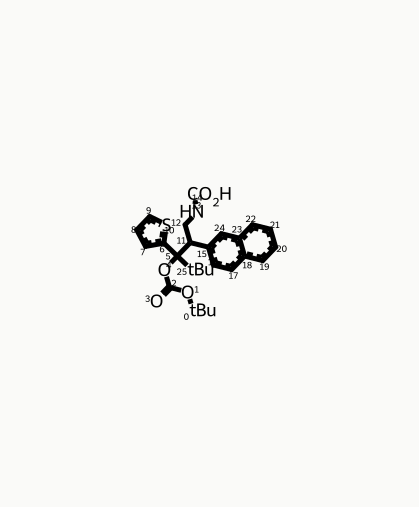 CC(C)(C)OC(=O)OC(c1cccs1)(C(CNC(=O)O)c1ccc2ccccc2c1)C(C)(C)C